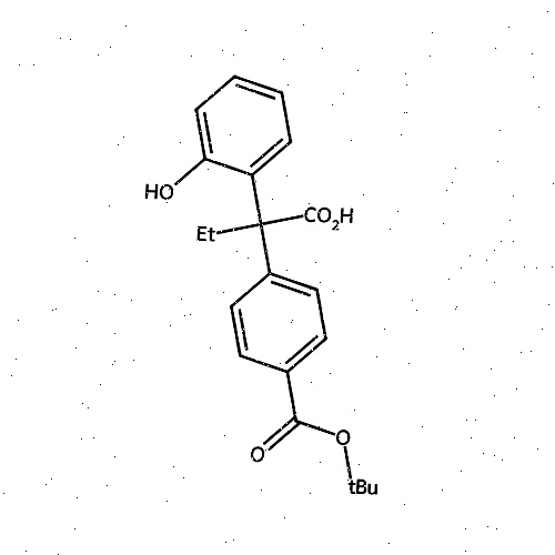 CCC(C(=O)O)(c1ccc(C(=O)OC(C)(C)C)cc1)c1ccccc1O